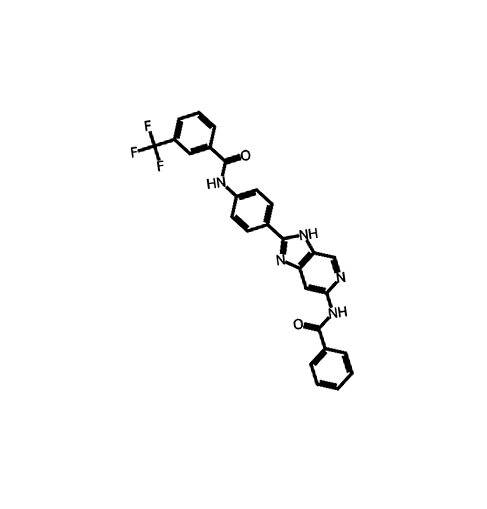 O=C(Nc1ccc(-c2nc3cc(NC(=O)c4ccccc4)ncc3[nH]2)cc1)c1cccc(C(F)(F)F)c1